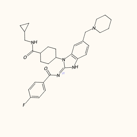 O=C(/N=c1/[nH]c2ccc(CN3CCCCC3)cc2n1C1CCC(C(=O)NCC2CC2)CC1)c1ccc(F)cc1